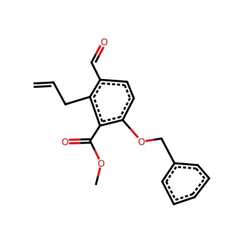 C=CCc1c(C=O)ccc(OCc2ccccc2)c1C(=O)OC